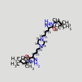 CC(C)(C)CC(C)(C)NC(=O)C(N)/C=C/C=C/N1CCN(/C=C/C=C/C(N)C(=O)NC(C)(C)CC(C)(C)C)CC1